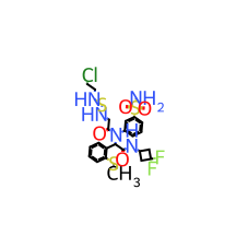 CSc1ccccc1C(C(=O)NC1CC(F)(F)C1)N(C(=O)CNSNCCCl)c1cccc(S(N)(=O)=O)c1